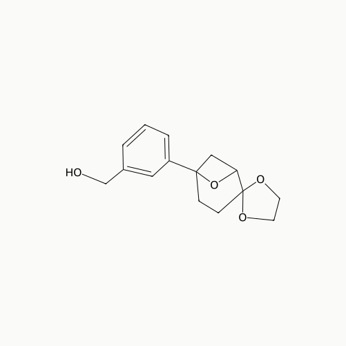 OCc1cccc(C23CCC4(OCCO4)C(C2)O3)c1